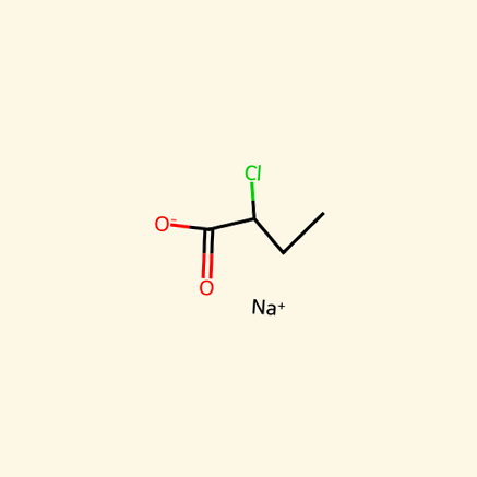 CCC(Cl)C(=O)[O-].[Na+]